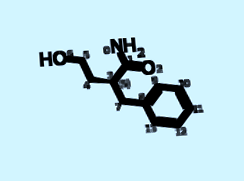 NC(=O)[C@H](CCO)Cc1ccccc1